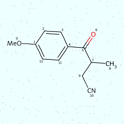 COc1ccc(C(=O)C(C)CC#N)cc1